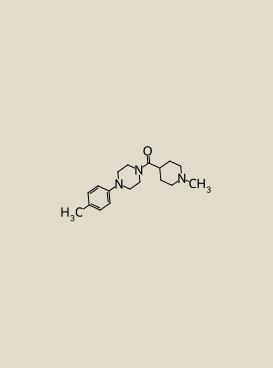 Cc1ccc(N2CCN(C(=O)C3CCN(C)CC3)CC2)cc1